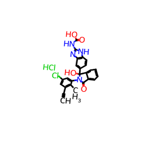 C#Cc1cc(Cl)cc(N2C(=O)c3ccccc3C2(O)c2ccc3[nH]c(NC(=O)O)nc3c2)c1C.Cl